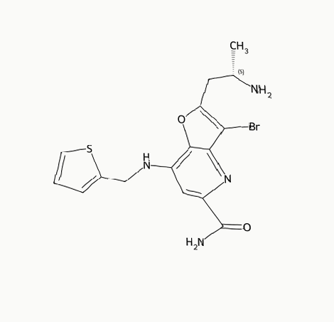 C[C@H](N)Cc1oc2c(NCc3cccs3)cc(C(N)=O)nc2c1Br